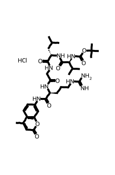 Cc1cc(=O)oc2cc(NC(=O)[C@H](CCCNC(=N)N)NC(=O)CNC(=O)[C@H](CC(C)C)NC(=O)[C@@H](NC(=O)OC(C)(C)C)C(C)C)ccc12.Cl